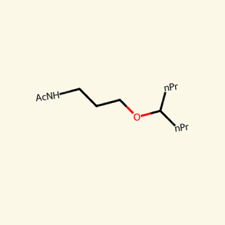 CCCC(CCC)OCCCNC(C)=O